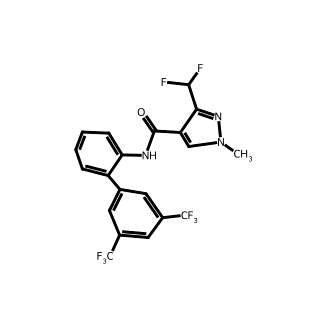 Cn1cc(C(=O)Nc2ccccc2-c2cc(C(F)(F)F)cc(C(F)(F)F)c2)c(C(F)F)n1